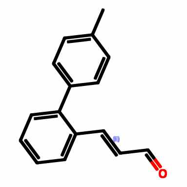 Cc1ccc(-c2ccccc2/C=C/C=O)cc1